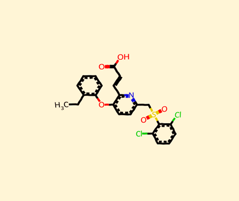 CCc1ccccc1Oc1ccc(CS(=O)(=O)c2c(Cl)cccc2Cl)nc1C=CC(=O)O